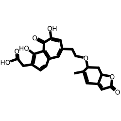 CC1=CC2=CC(=O)OC2CC1OCCc1cc(O)c(=O)c2c(O)c(CC(=O)O)ccc2c1